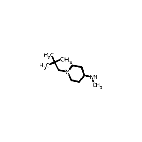 CNC1CCN(CC(C)(C)C)CC1